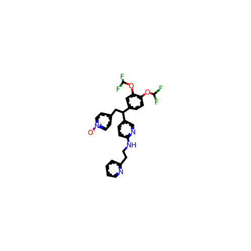 [O-][n+]1ccc(CC(c2ccc(NCCc3ccccn3)nc2)c2ccc(OC(F)F)c(OC(F)F)c2)cc1